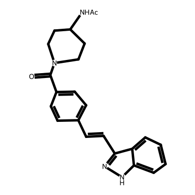 CC(=O)NC1CCN(C(=O)c2ccc(/C=C/c3n[nH]c4ccccc34)cc2)CC1